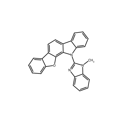 Cn1c(-n2c3ccccc3c3ccc4c5ccccc5oc4c32)nc2ccccc21